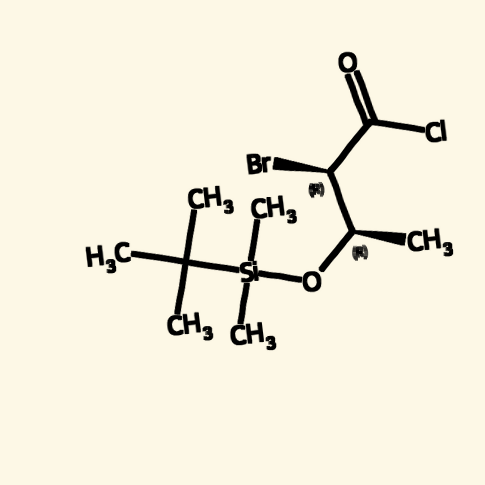 C[C@@H](O[Si](C)(C)C(C)(C)C)[C@@H](Br)C(=O)Cl